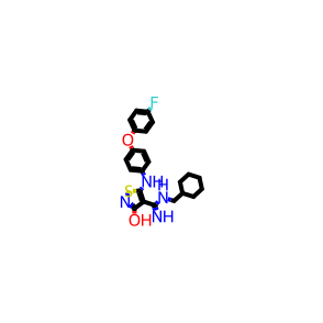 N=C(NCC1CCCCC1)c1c(O)nsc1Nc1ccc(Oc2ccc(F)cc2)cc1